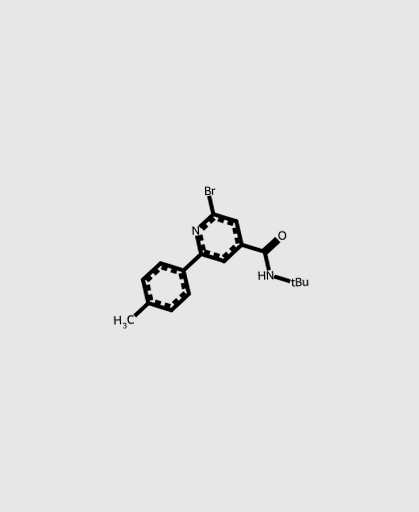 Cc1ccc(-c2cc(C(=O)NC(C)(C)C)cc(Br)n2)cc1